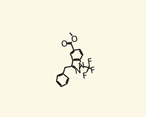 COC(=O)c1ccc2c(c1)c(Cc1ccccc1)nn2C(F)(F)F